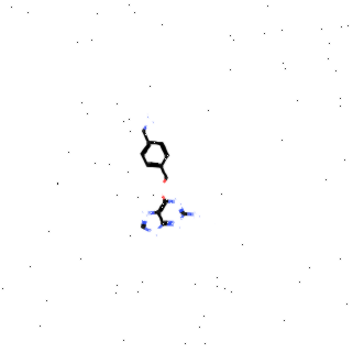 CCNCc1ccc(COc2nc(N)nc3[nH]cnc23)cc1